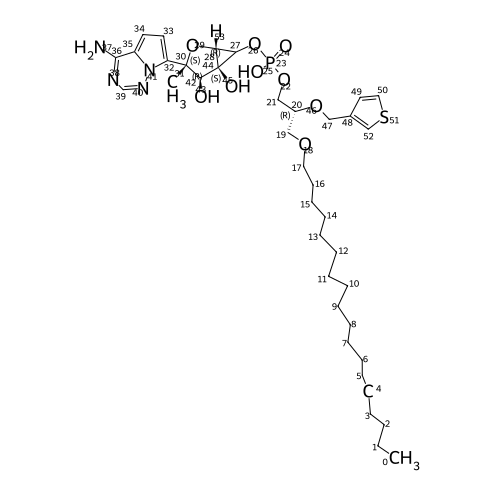 CCCCCCCCCCCCCCCCCCOC[C@H](COP(=O)(O)OC1[C@H]2O[C@@](C)(c3ccc4c(N)ncnn34)[C@H](O)[C@@]12O)OCc1ccsc1